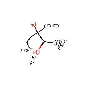 O=C([O-])CC(O)(C(=O)[O-])C(O)C(=O)[O-].[K+].[K+].[K+]